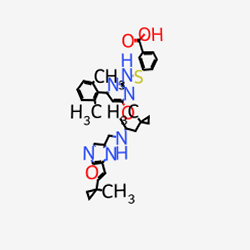 Cc1cccc(C)c1-c1cc(OCC(CC2(C)CC2)NCc2cnc3oc(C4(C)CC4)cc3n2)nc(NSc2cccc(C(=O)O)c2)n1